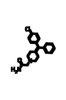 NC(=O)CN1CCC(=C(c2ccccc2)c2ccc(Cl)cc2)CC1